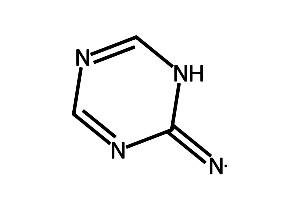 [N]=c1ncnc[nH]1